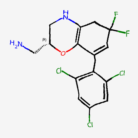 NC[C@@H]1CNC2=C(O1)C(c1c(Cl)cc(Cl)cc1Cl)=CC(F)(F)C2